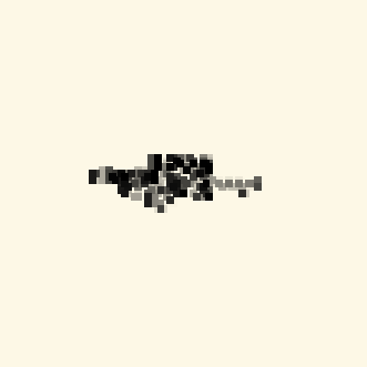 CCCCCCOC(=O)NC(=N)c1ccc(C(N)c2nc3cc(C(=O)N(CCC(=O)OCC)c4ccccn4)ccc3n2C)cc1.CS(=O)(=O)O